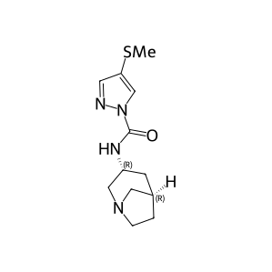 CSc1cnn(C(=O)N[C@@H]2C[C@H]3CCN(C3)C2)c1